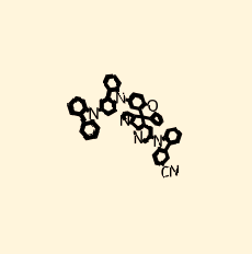 N#Cc1ccc2c(c1)c1ccccc1n2-c1cnc2c(c1)C1(c3ccccc3Oc3ccc(-n4c5ccccc5c5cc(-n6c7ccccc7c7ccccc76)ccc54)cc31)c1cccnc1-2